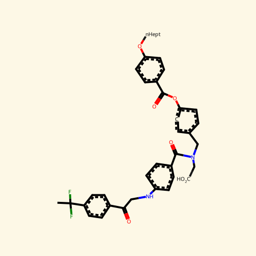 CCCCCCCOc1ccc(C(=O)Oc2ccc(CN(CC(=O)O)C(=O)c3ccc(NCC(=O)c4ccc(C(C)(F)F)cc4)cc3)cc2)cc1